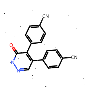 N#Cc1ccc(C2=C(c3ccc(C#N)cc3)C(=O)[N]N=C2)cc1